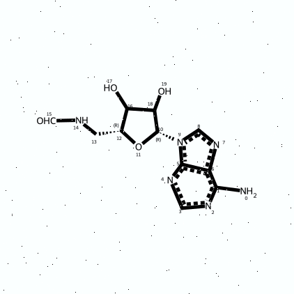 Nc1ncnc2c1ncn2[C@@H]1O[C@H](CNC=O)C(O)C1O